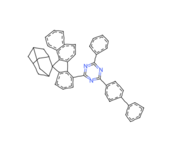 c1ccc(-c2ccc(-c3nc(-c4ccccc4)nc(-c4cccc5c4-c4ccc6ccccc6c4C54C5CC6CC(C5)CC4C6)n3)cc2)cc1